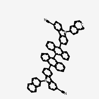 N#Cc1ccc2c(c1)c1cc(-c3c4ccccc4c(-c4c5ccccc5c(-c5ccc6c(c5)c5cc(C#N)ccc5n6-c5ccc6ccccc6c5)c5ccccc45)c4ccccc34)ccc1n2-c1ccc2ccccc2c1